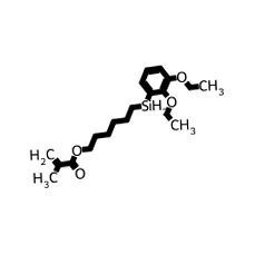 C=C(C)C(=O)OCCCCCC[SiH2]c1cccc(OCC)c1OCC